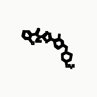 CCCCN(C(=O)c1ccccc1Cl)c1nnc(-c2ccc(CN3CCC(C(=O)O)CC3)cc2C)s1